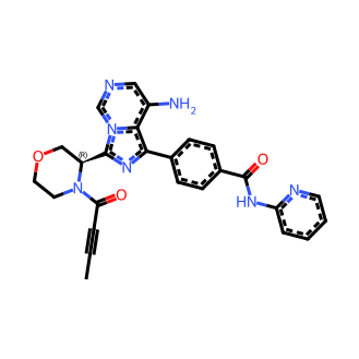 CC#CC(=O)N1CCOC[C@H]1c1nc(-c2ccc(C(=O)Nc3ccccn3)cc2)c2c(N)cncn12